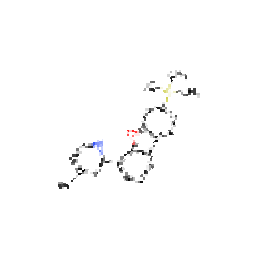 CC(C)c1ccnc(-c2cccc3c2oc2cc(S(C)(C)C)ccc23)c1